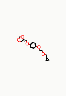 c1cc(OC[C@H]2COCO2)ccc1OCCOCC1CC1